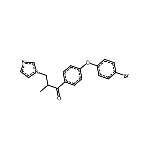 CC(Cn1ccnc1)C(=O)c1ccc(Oc2ccc(Br)cc2)cc1